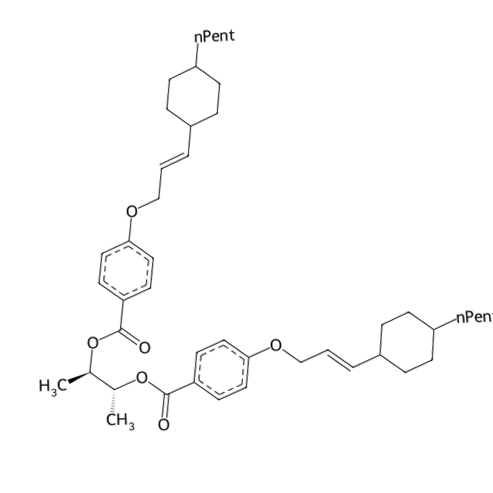 CCCCCC1CCC(C=CCOc2ccc(C(=O)O[C@H](C)[C@@H](C)OC(=O)c3ccc(OCC=CC4CCC(CCCCC)CC4)cc3)cc2)CC1